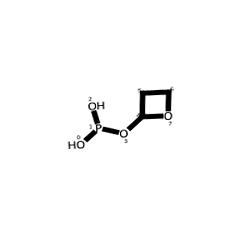 OP(O)OC1CCO1